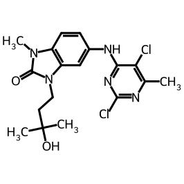 Cc1nc(Cl)nc(Nc2ccc3c(c2)n(CCC(C)(C)O)c(=O)n3C)c1Cl